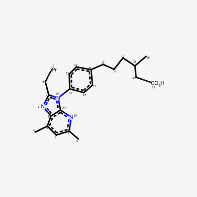 Cc1cc(C)c2nc(CC(C)C)n(-c3ccc(CCCC(C)CC(=O)O)cc3)c2n1